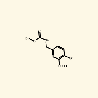 CCOC(=O)c1nc(CNC(=O)OC(C)(C)C)ccc1C(C)C